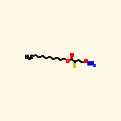 CCCCCCCCCCOC(=O)C(=S)CCON